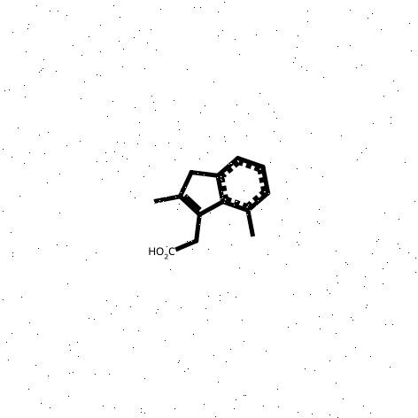 CC1=C(CC(=O)O)c2c(C)cccc2C1